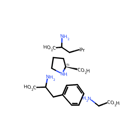 CC(C)CC(N)C(=O)O.NC(Cc1ccccc1)C(=O)O.NCC(=O)O.O=C(O)[C@@H]1CCCN1